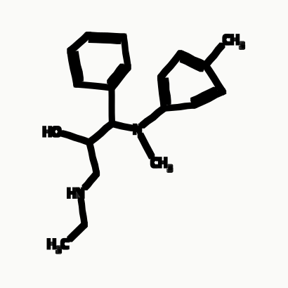 CCNCC(O)C(c1ccccc1)N(C)c1ccc(C)cc1